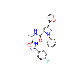 CC(NC(=O)c1cc(-c2ccco2)nn1-c1ccccc1)c1nc(-c2ccc(F)cc2)no1